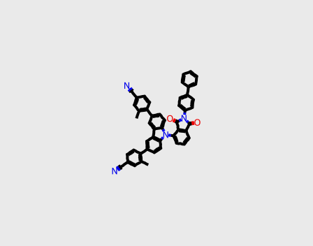 Cc1cc(C#N)ccc1-c1ccc2c(c1)c1cc(-c3ccc(C#N)cc3C)ccc1n2-c1cccc2c1C(=O)N(c1ccc(-c3ccccc3)cc1)C2=O